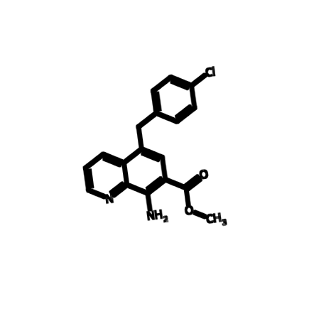 COC(=O)c1cc(Cc2ccc(Cl)cc2)c2cccnc2c1N